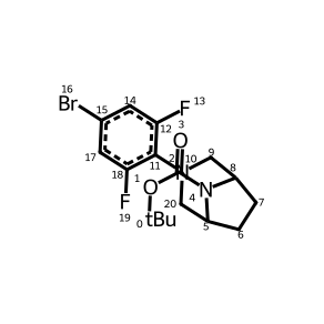 CC(C)(C)OC(=O)N1C2CCC1CN(c1c(F)cc(Br)cc1F)C2